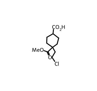 COC(=O)C1(CCCl)CCC(C(=O)O)CC1